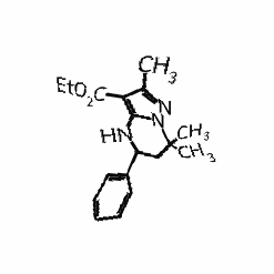 CCOC(=O)c1c(C)nn2c1NC(c1ccccc1)CC2(C)C